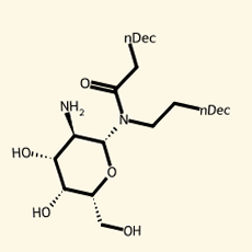 CCCCCCCCCCCCN(C(=O)CCCCCCCCCCC)[C@@H]1O[C@H](CO)[C@H](O)[C@H](O)[C@H]1N